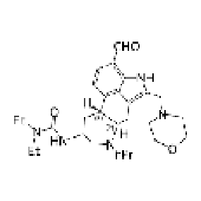 CCCN1CC(NC(=O)N(CC)CC)C[C@@H]2c3ccc(C=O)c4[nH]c(CN5CCOCC5)c(c34)C[C@H]21